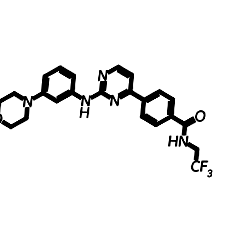 O=C(NCC(F)(F)F)c1ccc(-c2ccnc(Nc3cccc(N4CCOCC4)c3)n2)cc1